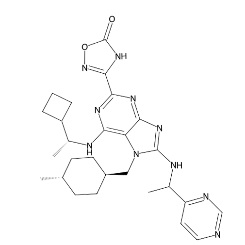 CC(Nc1nc2nc(-c3noc(=O)[nH]3)nc(N[C@H](C)C3CCC3)c2n1C[C@H]1CC[C@H](C)CC1)c1ccncn1